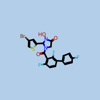 O=C1CN(C(=O)c2c(F)ccc(-c3ccc(F)cc3)c2F)C(c2cc(Br)cs2)N1O